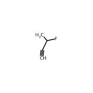 C#C[C](C)F